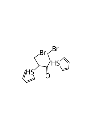 O=C(C(CBr)[SH]1C=CC=C1)C(CBr)[SH]1C=CC=C1